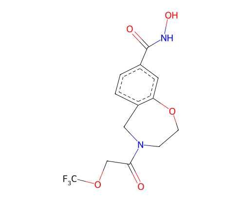 O=C(NO)c1ccc2c(c1)OCCN(C(=O)COC(F)(F)F)C2